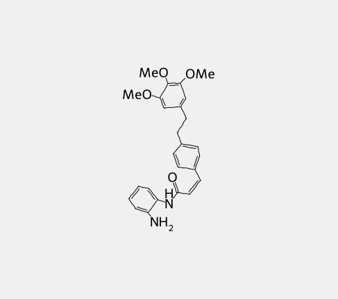 COc1cc(CCc2ccc(/C=C\C(=O)Nc3ccccc3N)cc2)cc(OC)c1OC